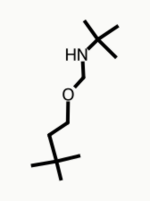 CC(C)(C)CCOCNC(C)(C)C